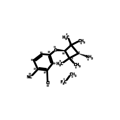 CC(F)(F)F.CC1(C)[C@H](N)C(C)(C)[C@H]1Oc1ccc(C#N)c(Cl)c1